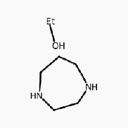 C1CNCCNC1.CCO